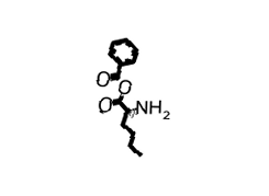 CCCC[C@@H](N)C(=O)OC(=O)c1ccccc1